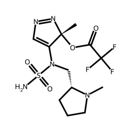 CN1CCC[C@@H]1CN(C1=CN=N[C@]1(C)OC(=O)C(F)(F)F)S(N)(=O)=O